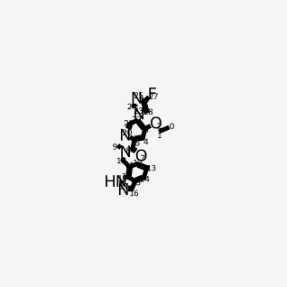 CCOc1cc(C(=O)N(C)Cc2cccc3cn[nH]c23)ncc1-n1cnc(F)c1